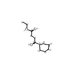 CCOC(=O)CCC(=O)C1CCCCC1